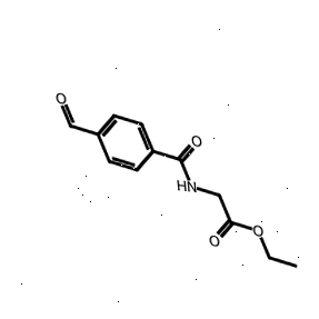 CCOC(=O)CNC(=O)c1ccc(C=O)cc1